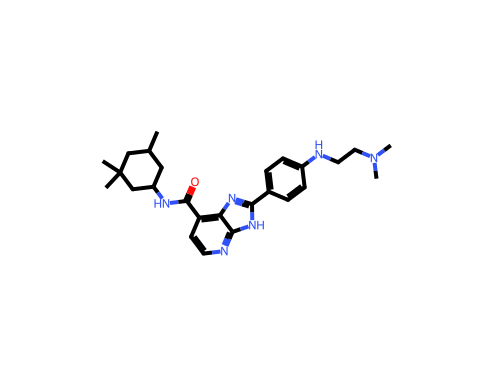 CC1CC(NC(=O)c2ccnc3[nH]c(-c4ccc(NCCN(C)C)cc4)nc23)CC(C)(C)C1